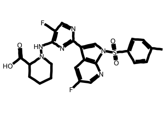 Cc1ccc(S(=O)(=O)n2cc(-c3ncc(F)c(NN4CCCCC4C(=O)O)n3)c3cc(F)cnc32)cc1